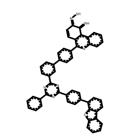 N=C1/C(=N\S)C=Cc2c(-c3ccc(-c4cccc(-c5nc(-c6ccccc6)nc(-c6ccc(-c7cccc8c7sc7ccccc78)cc6)n5)c4)cc3)nc3ccccc3c21